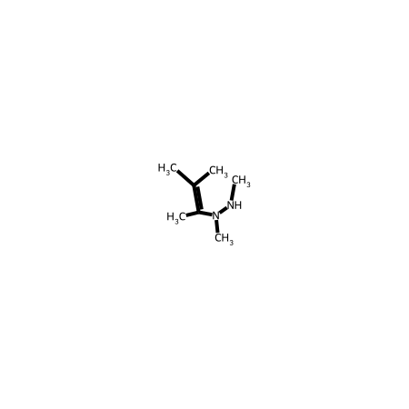 CNN(C)C(C)=C(C)C